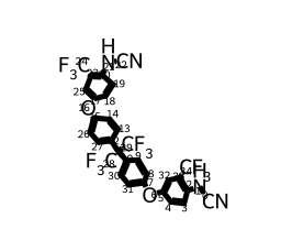 N#CNc1ccc(Oc2ccc(C(c3ccc(Oc4ccc(NC#N)c(C(F)(F)F)c4)cc3)(C(F)(F)F)C(F)(F)F)cc2)cc1C(F)(F)F